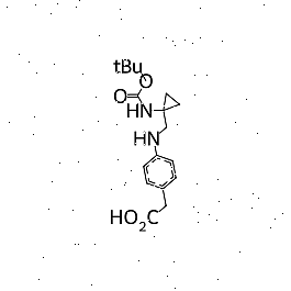 CC(C)(C)OC(=O)NC1(CNc2ccc(CC(=O)O)cc2)CC1